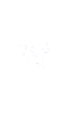 C/C(=N\O)C(C)(C)NC[C@H](Cn1ccnc1[N+](=O)[O-])ONC(C)(C)/C(C)=N/O